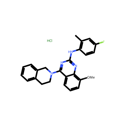 COc1cccc2c(N3CCc4ccccc4C3)nc(Nc3ccc(F)cc3C)nc12.Cl